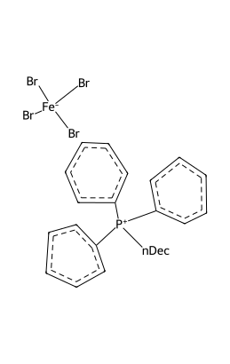 CCCCCCCCCC[P+](c1ccccc1)(c1ccccc1)c1ccccc1.[Br][Fe-]([Br])([Br])[Br]